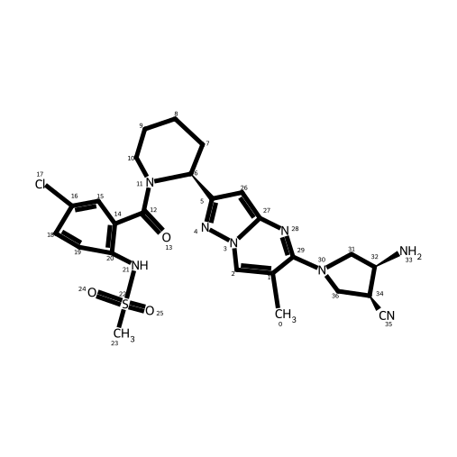 Cc1cn2nc([C@@H]3CCCCN3C(=O)c3cc(Cl)ccc3NS(C)(=O)=O)cc2nc1N1C[C@@H](N)[C@@H](C#N)C1